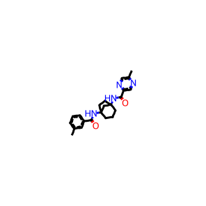 Cc1cccc(C(=O)NC23CCCC(NC(=O)c4cnc(C)cn4)(CC2)C3)c1